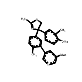 COc1cncc(-c2cc(C3(c4ccc(OC)c(C)c4)COC(N)=N3)ccc2C)c1